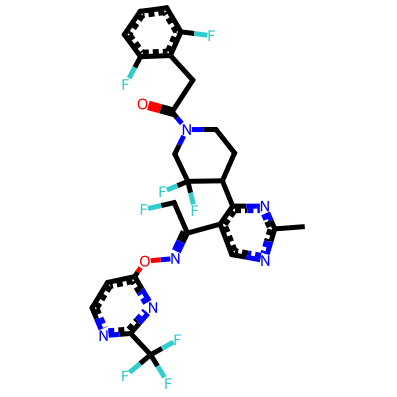 Cc1ncc(C(CF)=NOc2ccnc(C(F)(F)F)n2)c(C2CCN(C(=O)Cc3c(F)cccc3F)CC2(F)F)n1